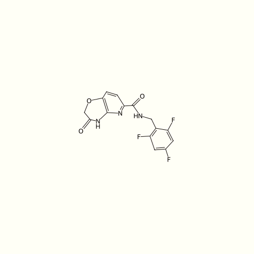 O=C1COc2ccc(C(=O)NCc3c(F)cc(F)cc3F)nc2N1